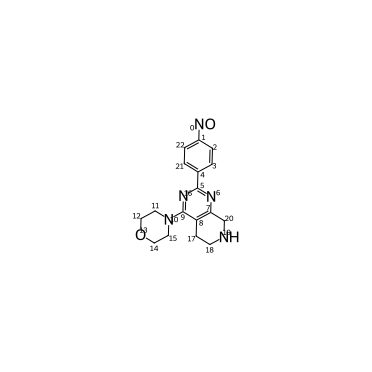 O=Nc1ccc(-c2nc3c(c(N4CCOCC4)n2)CCNC3)cc1